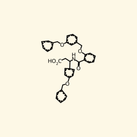 O=C(O)CC(NC(=O)c1ccccc1OCc1cccc(OCc2ccccc2)c1)c1ccc(OCc2ccccc2)cc1